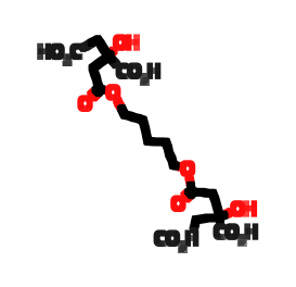 O=C(O)CC(O)(CC(=O)OCCCCCOC(=O)CC(O)(CC(=O)O)C(=O)O)C(=O)O